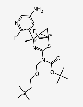 CC(C)(C)OC(=O)N(COCC[Si](C)(C)C)C1=N[C@](C)(c2cc(N)cnc2F)C2C[C@]2(CF)S1